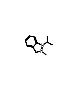 CC(C)N1c2ccccc2CN1C